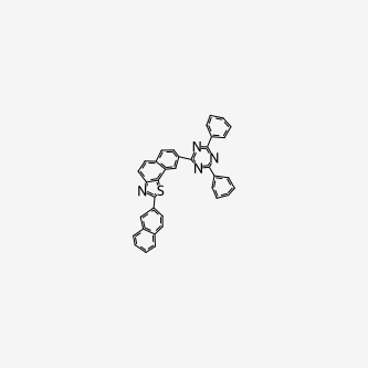 c1ccc(-c2nc(-c3ccccc3)nc(-c3ccc4ccc5nc(-c6ccc7ccccc7c6)sc5c4c3)n2)cc1